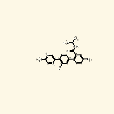 CC(NC(=O)c1cc(C(F)(F)F)ccc1-c1ccc(-c2cnc(N)cn2)c(F)c1)C(F)(F)F